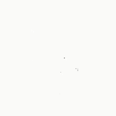 c1ccc(-c2cc(-c3ccccc3)nc(-n3c4ccccc4c4cc5c(cc43)oc3ccc4c6ccccc6n(-c6ccccc6)c4c35)n2)cc1